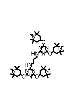 CN1C(C)(C)CC(Oc2nc(NCCCNc3nc(OC4CC(C)(C)N(C)C(C)(C)C4)nc(OC4CC(C)(C)N(C)C(C)(C)C4)n3)nc(OC3CC(C)(C)N(C)C(C)(C)C3)n2)CC1(C)C